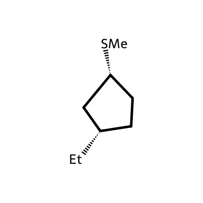 CC[C@H]1CC[C@@H](SC)C1